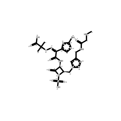 CNCC(=O)NCc1cn(C[C@@H]2[C@H](NC(=O)/C(=N\OC(C)(C)C(=O)O)c3csc(N)n3)C(=O)N2S(=O)(=O)O)nn1